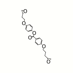 O=C(Oc1ccc(OCCC2CO2)cc1)c1ccc(OCCCC2CO2)cc1